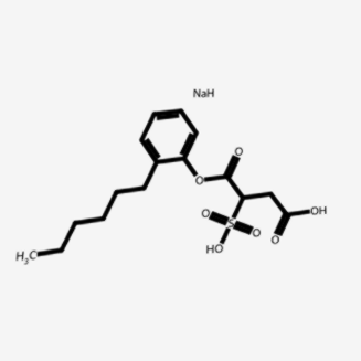 CCCCCCc1ccccc1OC(=O)C(CC(=O)O)S(=O)(=O)O.[NaH]